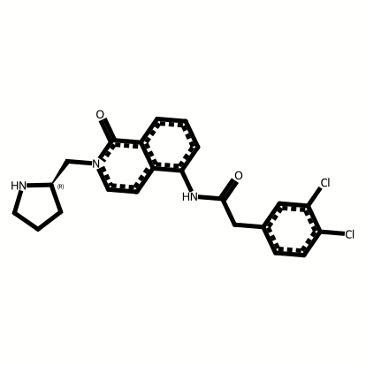 O=C(Cc1ccc(Cl)c(Cl)c1)Nc1cccc2c(=O)n(C[C@H]3CCCN3)ccc12